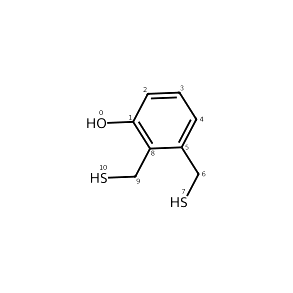 Oc1cccc(CS)c1CS